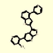 Cc1ccncc1-c1cnc2[nH]nc(-c3cc4c(-c5cccnc5)cccc4[nH]3)c2c1